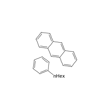 CCCCCCc1ccccc1.c1ccc2cc3ccccc3cc2c1